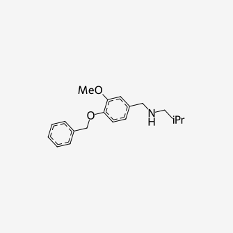 COc1cc(CNCC(C)C)ccc1OCc1ccccc1